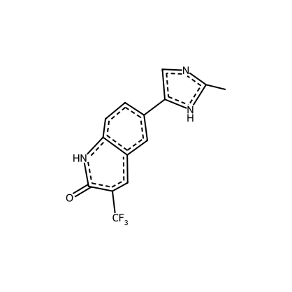 Cc1ncc(-c2ccc3[nH]c(=O)c(C(F)(F)F)cc3c2)[nH]1